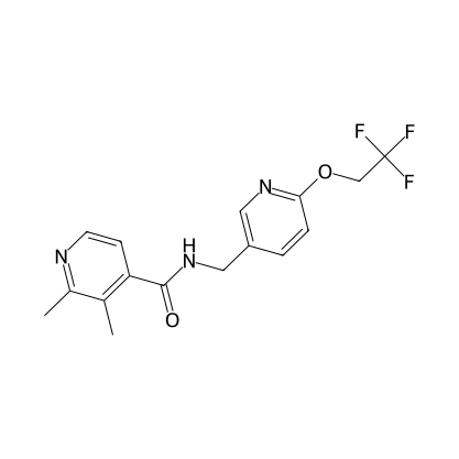 Cc1nccc(C(=O)NCc2ccc(OCC(F)(F)F)nc2)c1C